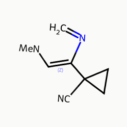 C=N/C(=C\NC)C1(C#N)CC1